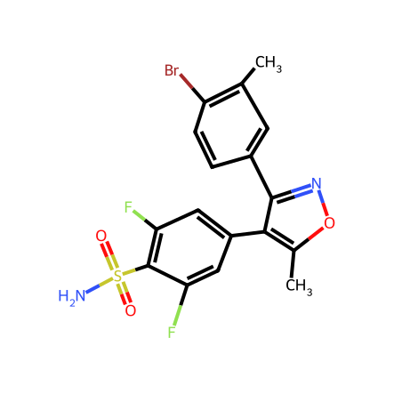 Cc1cc(-c2noc(C)c2-c2cc(F)c(S(N)(=O)=O)c(F)c2)ccc1Br